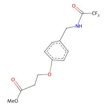 COC(=O)CCOc1ccc(CNC(=O)C(F)(F)F)cc1